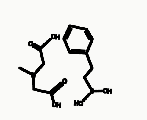 CN(CC(=O)O)CC(=O)O.OB(O)CCc1ccccc1